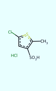 Cc1sc(Cl)cc1S(=O)(=O)O.Cl